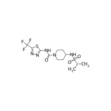 CC(C)S(=O)(=O)NC1CCN(C(=O)Nc2nnc(C(F)(F)F)s2)CC1